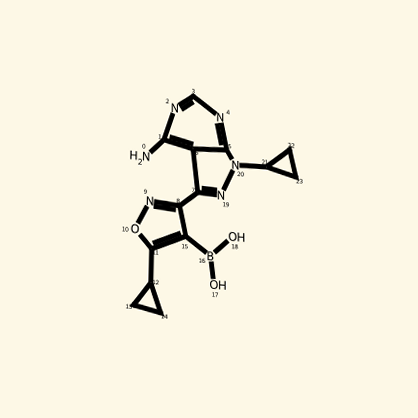 Nc1ncnc2c1c(-c1noc(C3CC3)c1B(O)O)nn2C1CC1